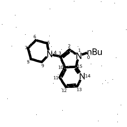 CCCCn1cc(N2CCCCC2)c2cccnc21